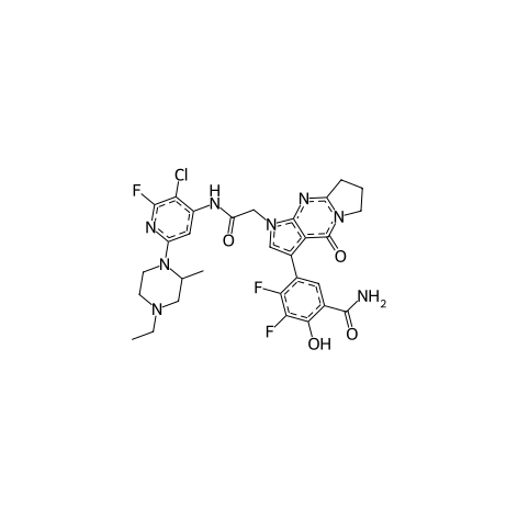 CCN1CCN(c2cc(NC(=O)Cn3cc(-c4cc(C(N)=O)c(O)c(F)c4F)c4c(=O)n5c(nc43)CCC5)c(Cl)c(F)n2)C(C)C1